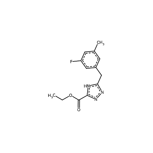 CCOC(=O)c1nnc(Cc2cc(C)cc(F)c2)[nH]1